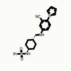 CC(C)S(=O)(=O)N[C@H]1CC[C@H](CNc2ccc(-n3cccc3)c(C#N)c2)CC1